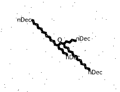 CCCCCCCCCCCCCCCCCCCCCCC(CCCCCCCCCCCCCC)C(=O)C(CCCCCCCCCCCCCC)CCCCCCCCCCCCCCCCCCCCCC